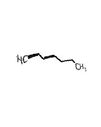 [CH]=CC=CCCC